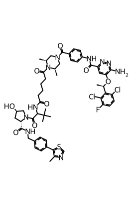 Cc1ncsc1-c1ccc(CNC(=O)[C@@H]2C[C@@H](O)CN2C(=O)C(NC(=O)CCCCC(=O)N2[C@H](C)CN(C(=O)c3ccc(NC(=O)c4cc(O[C@H](C)c5c(Cl)ccc(F)c5Cl)c(N)nn4)cc3)C[C@@H]2C)C(C)(C)C)cc1